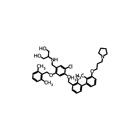 Cc1cccc(C)c1COc1cc(OCc2cccc(-c3cccc(OCCCN4CCCC4)c3C)c2C)c(Cl)cc1CNC(CO)CO